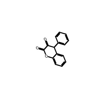 O=C1Oc2ccccc2C(c2ccccc2)C1=O